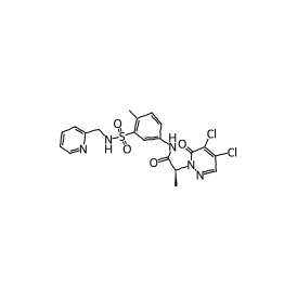 Cc1ccc(NC(=O)[C@H](C)n2ncc(Cl)c(Cl)c2=O)cc1S(=O)(=O)NCc1ccccn1